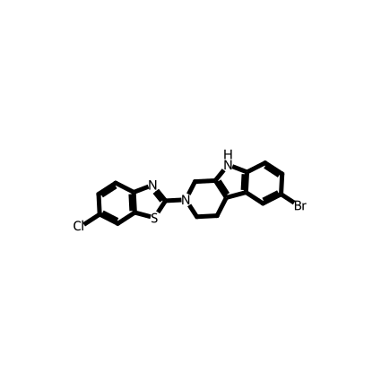 Clc1ccc2nc(N3CCc4c([nH]c5ccc(Br)cc45)C3)sc2c1